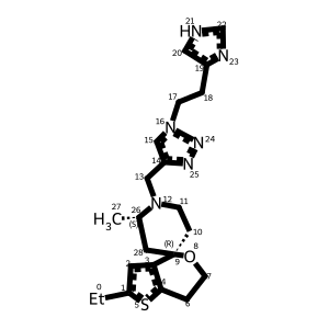 CCc1cc2c(s1)CCO[C@@]21CCN(Cc2cn(CCc3c[nH]cn3)nn2)[C@@H](C)C1